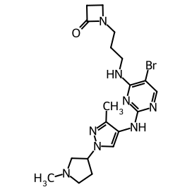 Cc1nn(C2CCN(C)C2)cc1Nc1ncc(Br)c(NCCCN2CCC2=O)n1